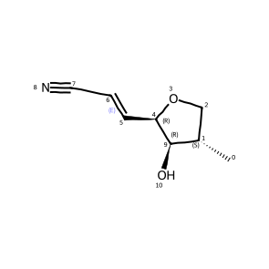 C[C@H]1CO[C@H](/C=C/C#N)[C@@H]1O